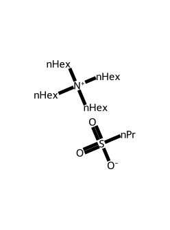 CCCCCC[N+](CCCCCC)(CCCCCC)CCCCCC.CCCS(=O)(=O)[O-]